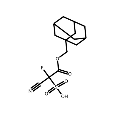 N#CC(F)(C(=O)OCC12CC3CC(CC(C3)C1)C2)S(=O)(=O)O